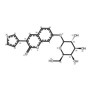 O=c1oc2cc(OC3O[C@H](CO)[C@H](O)[C@H](O)[C@H]3O)ccc2cc1-c1ccsc1